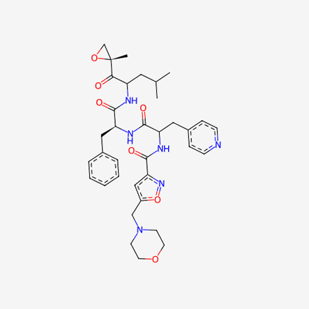 CC(C)CC(NC(=O)[C@H](Cc1ccccc1)NC(=O)C(Cc1ccncc1)NC(=O)c1cc(CN2CCOCC2)on1)C(=O)[C@@]1(C)CO1